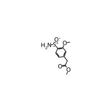 COC(=O)Cc1ccc([S+](N)[O-])c(OC)c1